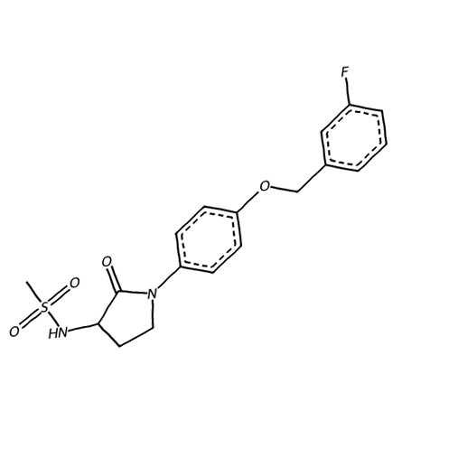 CS(=O)(=O)NC1CCN(c2ccc(OCc3cccc(F)c3)cc2)C1=O